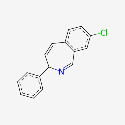 Clc1ccc2c(c1)C=NC(c1ccccc1)C=C2